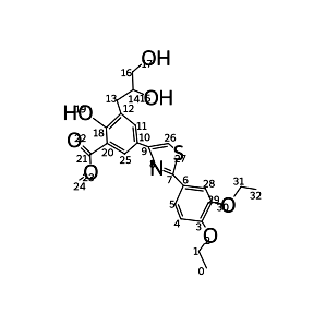 CCOc1ccc(-c2nc(-c3cc(CC(O)CO)c(O)c(C(=O)OC)c3)cs2)cc1OCC